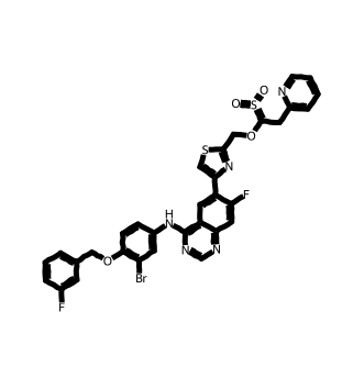 O=S(=O)=C(Cc1ccccn1)OCc1nc(-c2cc3c(Nc4ccc(OCc5cccc(F)c5)c(Br)c4)ncnc3cc2F)cs1